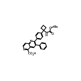 CC(C)(C)OC(=O)NC1(c2ccc(-c3nc4ccnc(C(=O)O)c4cc3-c3ccccc3)cc2)CCC1